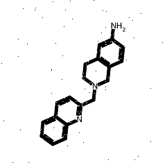 Nc1ccc2c(c1)CCN(Cc1ccc3ccccc3n1)C2